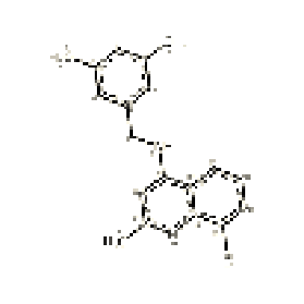 Cc1cc(C)cc(CNc2cc(C)nc3c(Br)cccc23)c1